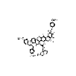 COc1ccc(CNc2nc(-c3c(F)c4c5c(c3Cl)=NCNC=5N(C(C)c3cccnc3N(Cc3ccc(OC)cc3)Cc3ccc(OC)cc3)C=C(OC[C@@]35CCCN3C[C@H](F)C5)O4)c(C(F)(F)F)c(C)c2F)cc1